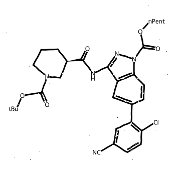 CCCCCOC(=O)n1nc(NC(=O)[C@@H]2CCCN(C(=O)OC(C)(C)C)C2)c2cc(-c3cc(C#N)ccc3Cl)ccc21